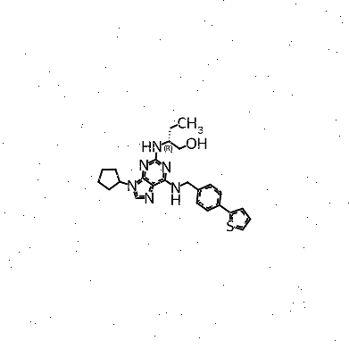 CC[C@H](CO)Nc1nc(NCc2ccc(-c3cccs3)cc2)c2ncn(C3CCCC3)c2n1